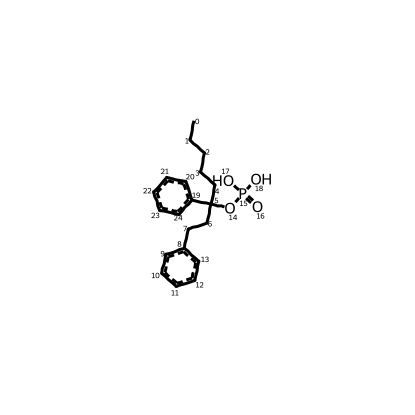 CCCCCC(CCc1ccccc1)(OP(=O)(O)O)c1ccccc1